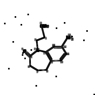 COCCN1C(=O)CCCc2ccc(N)cc21